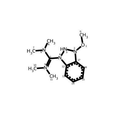 CON1NN(C(N(C)C)=[N+](C)C)c2ccccc21